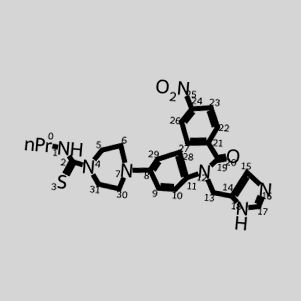 CCCNC(=S)N1CCN(c2ccc(N(Cc3cnc[nH]3)C(=O)c3ccc([N+](=O)[O-])cc3)cc2)CC1